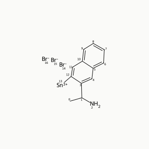 CC(N)c1cc2ccccc2c[c]1[Sn+3].[Br-].[Br-].[Br-]